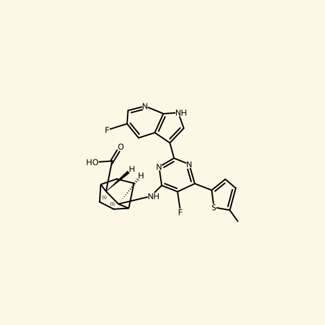 Cc1ccc(-c2nc(-c3c[nH]c4ncc(F)cc34)nc(N[C@H]3C4CCC(CC4)[C@@H]3C(=O)O)c2F)s1